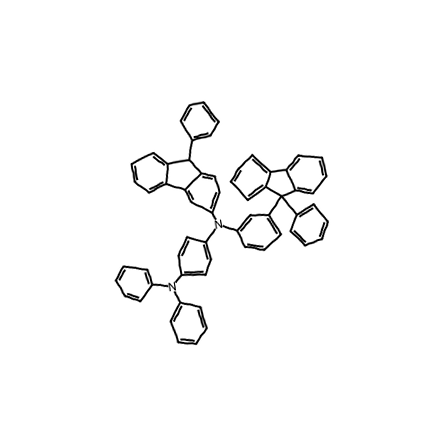 c1ccc(C2c3ccccc3-c3cc(N(c4ccc(N(c5ccccc5)c5ccccc5)cc4)c4cccc(C5(c6ccccc6)c6ccccc6-c6ccccc65)c4)ccc32)cc1